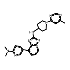 Cc1cc(N2CCC(Nc3nc4c(-c5ccc(N(C)C)nc5)cccn4n3)CC2)ncn1